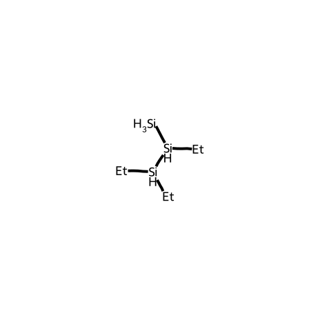 CC[SiH]([SiH3])[SiH](CC)CC